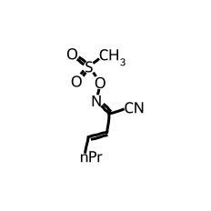 CCCC=CC(C#N)=NOS(C)(=O)=O